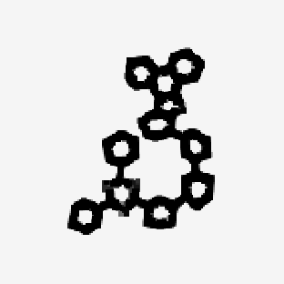 c1ccc(-c2nc(-c3ccccc3)nc(-c3cccc(-c4cccc(-c5cccc(-c6cccc7c6sc6c8ccccc8c8ccccc8c76)c5)c4)c3)n2)cc1